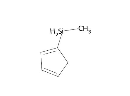 C[SiH2]C1=CC=CC1